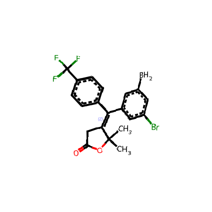 Bc1cc(Br)cc(/C(=C2/CC(=O)OC2(C)C)c2ccc(C(F)(F)F)cc2)c1